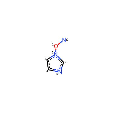 [N]On1ccnc1